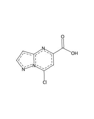 O=C(O)c1cc(Cl)n2nccc2n1